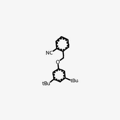 CC(C)(C)c1cc(OCc2ccccc2C#N)cc(C(C)(C)C)c1